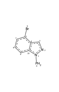 Pn1ncc2c(Br)cccc21